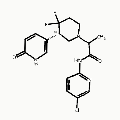 CC(C(=O)Nc1ccc(Cl)cn1)N1CCC(F)(F)[C@@H](c2ccc(=O)[nH]c2)C1